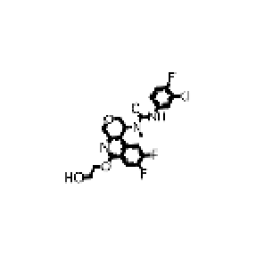 CN(C(=O)Nc1ccc(F)c(Cl)c1)[C@H]1COCc2nc(OCCO)c3cc(F)c(F)cc3c21